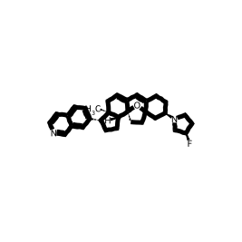 C[C@]12CC=C3C=C4CC[C@@H](N5CC[C@@H](F)C5)CC45CC[C@]3(O5)[C@@H]1CC[C@@H]2c1ccc2ccncc2c1